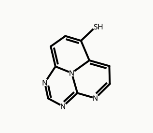 SC1=CC=C2N=CN=C3N=CC=C1N23